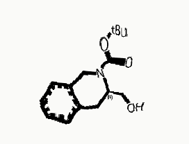 CC(C)(C)OC(=O)N1Cc2ccccc2C[C@@H]1CO